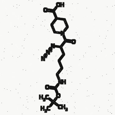 CC(C)(C)OC(=O)NCCCCC(N=[N+]=[N-])C(=O)N1CCC(C(=O)O)CC1